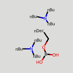 CCCCCCCCCCCOB(O)O.CCCCN(CCCC)CCCC.CCCCN(CCCC)CCCC